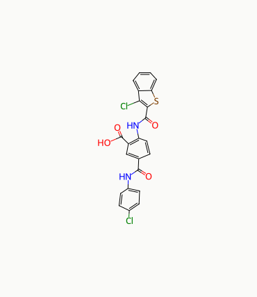 O=C(Nc1ccc(Cl)cc1)c1ccc(NC(=O)c2sc3ccccc3c2Cl)c(C(=O)O)c1